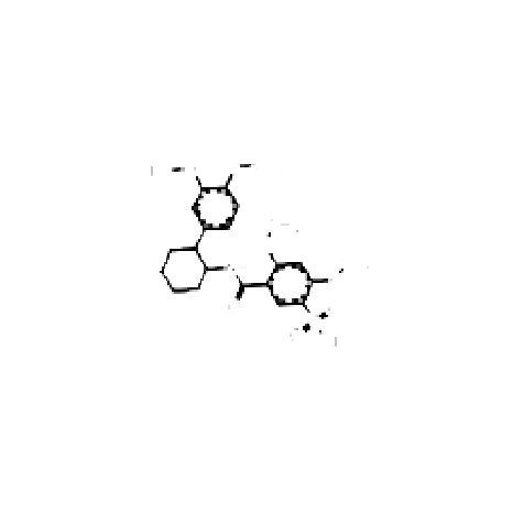 COc1ccc(C2CCCCC2NC(=O)c2cc(S(C)(=O)=O)c(OC)cc2OC)cc1OC